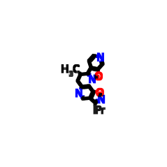 CC(C)c1noc2cc(CC(C)c3noc4cnccc34)ncc12